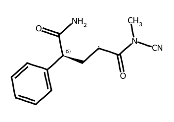 CN(C#N)C(=O)[CH]C[C@H](C(N)=O)c1ccccc1